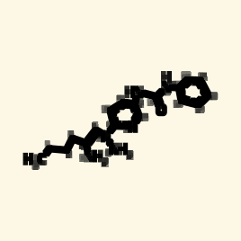 CCCC/C(N)=C/N(N)c1ccc(NC(=O)Nc2ccccc2)cn1